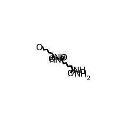 NNC(=O)CCCCC(=O)NNC(=O)CCCCC=O